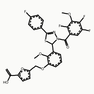 C=C(O)c1ccc(COc2cccc(C3SC(c4ccc(F)cc4)=NN3C(=O)c3cc(F)c(F)c(OC)c3F)c2OC)o1